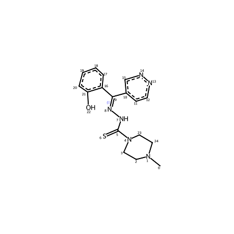 CN1CCN(C(=S)N/N=C(\c2ccnnc2)c2ccccc2O)CC1